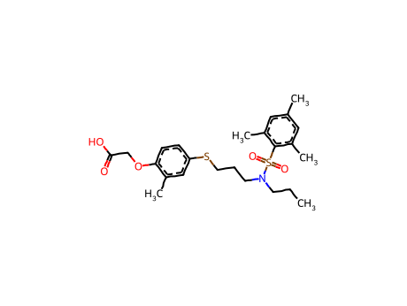 CCCN(CCCSc1ccc(OCC(=O)O)c(C)c1)S(=O)(=O)c1c(C)cc(C)cc1C